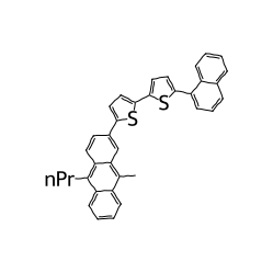 CCCc1c2ccccc2c(C)c2cc(-c3ccc(-c4ccc(-c5cccc6ccccc56)s4)s3)ccc12